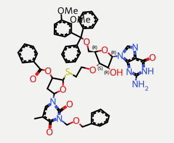 COc1cccc(C(OC[C@H]2O[C@@H](n3cnc4c(=O)[nH]c(N)nc43)[C@H](O)[C@@H]2OCCSC2OC(n3cc(C)c(=O)n(COCc4ccccc4)c3=O)CC2OC(=O)c2ccccc2)(c2ccccc2)c2ccccc2)c1OC